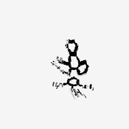 Nc1cccc(N)c1N.c1ccc2c(c1)c1ccnnc1c1nnnnc21